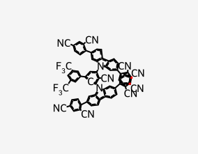 N#Cc1ccc(-c2ccc3c4ccc(-c5ccc(C#N)cc5C#N)cc4n(-c4cc(-c5cc(C(F)(F)F)cc(C(F)(F)F)c5)cc(-n5c6cc(-c7ccc(C#N)cc7C#N)ccc6c6ccc(-c7ccc(C#N)cc7C#N)cc65)c4C#N)c3c2)c(C#N)c1